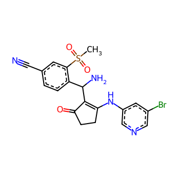 CS(=O)(=O)c1cc(C#N)ccc1C(N)C1=C(Nc2cncc(Br)c2)CCC1=O